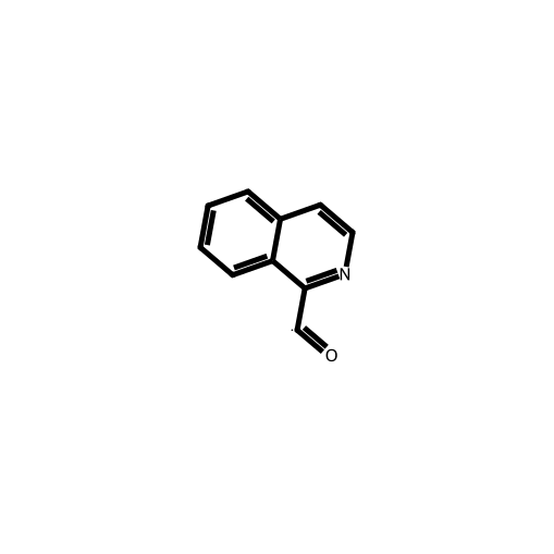 O=[C]c1nccc2ccccc12